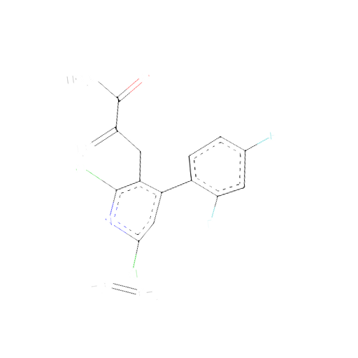 C=C.C=C(Cc1c(-c2ccc(F)cc2F)cc(Cl)nc1Cl)C(=O)C(=O)O